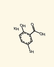 O=C(O)c1cc(S)ccc1O.[KH]